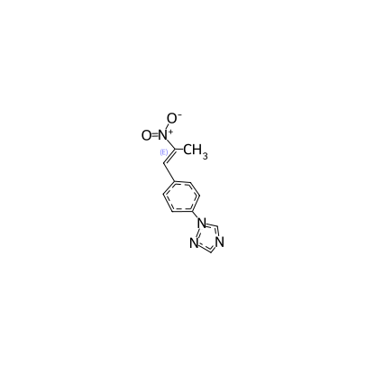 C/C(=C\c1ccc(-n2cncn2)cc1)[N+](=O)[O-]